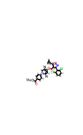 COC(=O)c1ccc(N2C[C@H]3C[C@@H]2C[C@@H]3OCc2c(-c3c(Cl)cccc3Cl)noc2C2CC2)cc1